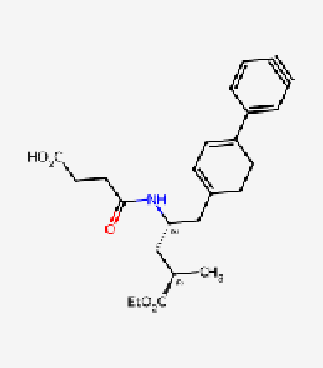 CCOC(=O)[C@H](C)C[C@@H](CC1=CC=C(c2cc#ccc2)CC1)NC(=O)CCC(=O)O